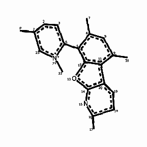 Cc1ccc(-c2c(C)cc(C)c3c2oc2nc(C)ccc23)[n+](C)c1